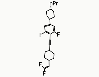 CCC[C@H]1CC[C@H](c2cc(F)c(C#CC3CCC(C=C(F)F)CC3)c(F)c2)CC1